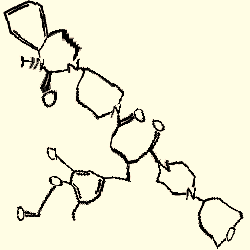 Cc1cc(C[C@@H](CC(=O)N2CCC(N3CCc4ccccc4NC3=O)CC2)C(=O)N2CCN(C3CCOCC3)CC2)cc(Cl)c1OC=O